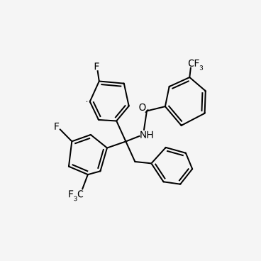 O=C(NC(Cc1ccccc1)(c1c[c]c(F)cc1)c1cc(F)cc(C(F)(F)F)c1)c1cccc(C(F)(F)F)c1